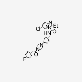 CCc1nc2ccc(Cl)cn2c1C(=O)NCc1ccc(N2CCN(C(=O)Cc3ccc(F)cc3)CC2)cc1